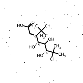 CC(C)(C)[C@H](O)C(O)[C@H](O)[C@@H](CC(=O)O)C(C)(C)C